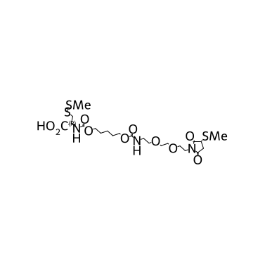 CSSC[C@H](NC(=O)OCCCCCOC(=O)NCCOCCOCCN1C(=O)CC(SC)C1=O)C(=O)O